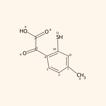 Cc1ccc(C(=O)C(=O)O)c(S)c1